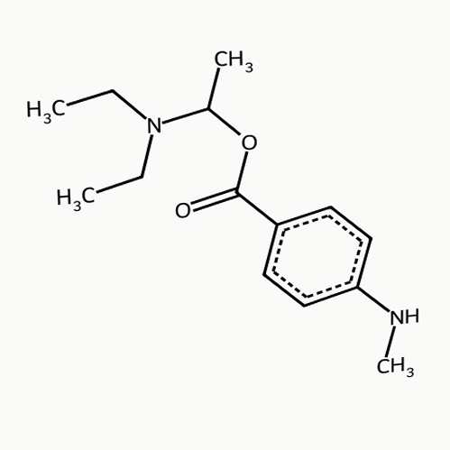 CCN(CC)C(C)OC(=O)c1ccc(NC)cc1